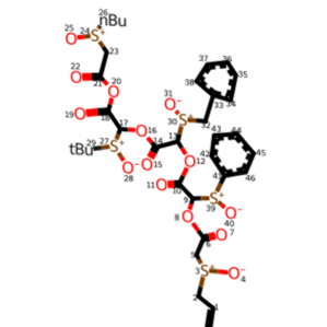 C=CC[S+]([O-])CC(=O)OC(C(=O)OC(C(=O)OC(C(=O)OC(=O)C[S+]([O-])CCCC)[S+]([O-])C(C)(C)C)[S+]([O-])Cc1ccccc1)[S+]([O-])c1ccccc1